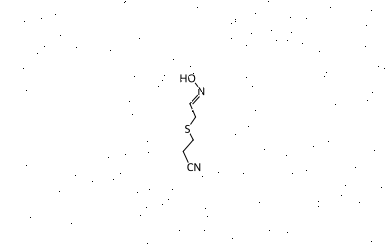 N#CCCSCC=NO